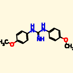 COc1ccc(NC(=N)Nc2ccc(OC)cc2)cc1